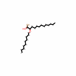 CCCCCCCCCCCC(OCCCCCCCCCC)C(O)S